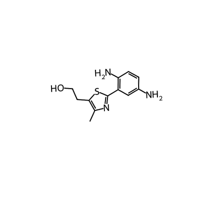 Cc1nc(-c2cc(N)ccc2N)sc1CCO